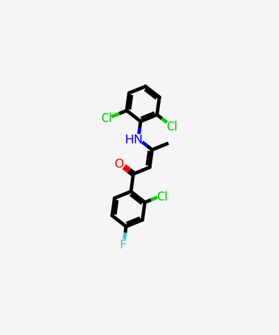 CC(=CC(=O)c1ccc(F)cc1Cl)Nc1c(Cl)cccc1Cl